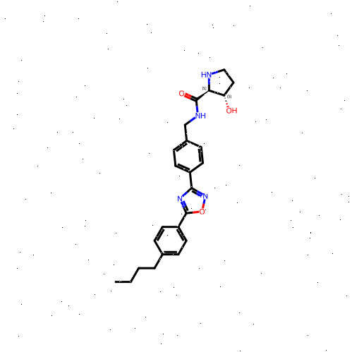 CCCCc1ccc(-c2nc(-c3ccc(CNC(=O)[C@H]4NCC[C@@H]4O)cc3)no2)cc1